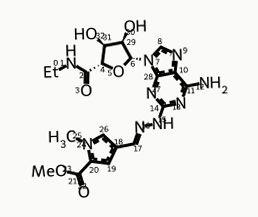 CCNC(=O)[C@H]1O[C@@H](n2cnc3c(N)nc(N/N=C/c4cc(C(=O)OC)n(C)c4)nc32)[C@H](O)[C@@H]1O